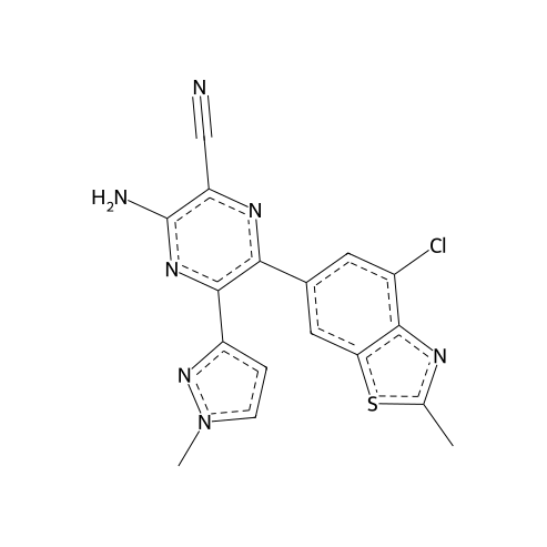 Cc1nc2c(Cl)cc(-c3nc(C#N)c(N)nc3-c3ccn(C)n3)cc2s1